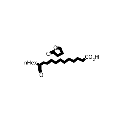 CCCCCCC(=C=O)CCCCCCCCCCC(=O)O.O=C1CCCO1